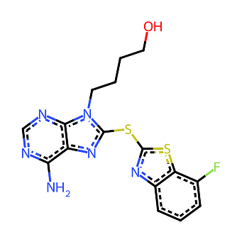 Nc1ncnc2c1nc(Sc1nc3cccc(F)c3s1)n2CCCCO